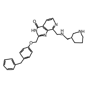 O=c1[nH]c(COc2ccc(Cc3ccccc3)cc2)nc2c(CNC[C@@H]3CCCNC3)nccc12